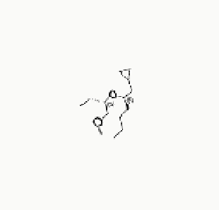 CCCC[C@H](CC1CC1)O[C@@H](CC)COC